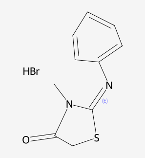 Br.CN1C(=O)CS/C1=N/c1ccccc1